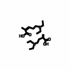 C=C(CCN(CC)CC)C(=O)O.CCN(CC)CCC=C(C)C(=O)O